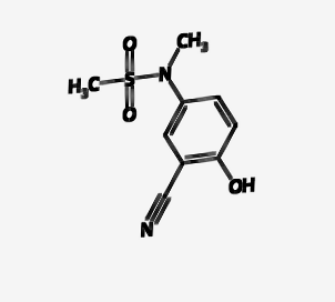 CN(c1ccc(O)c(C#N)c1)S(C)(=O)=O